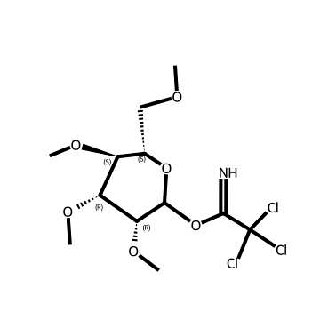 COC[C@@H]1OC(OC(=N)C(Cl)(Cl)Cl)[C@H](OC)[C@H](OC)[C@H]1OC